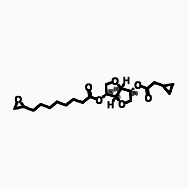 O=C(CCCCCCCC1CO1)O[C@H]1CO[C@H]2[C@@H]1OC[C@H]2OC(=O)CC1CC1